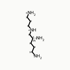 NCCCNC[C@H](N)CCCN